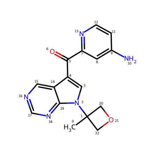 CC1(n2cc(C(=O)c3cc(N)ccn3)c3cncnc32)COC1